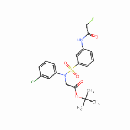 CC(C)(C)OC(=O)CN(c1cccc(Cl)c1)S(=O)(=O)c1cccc(NC(=O)CF)c1